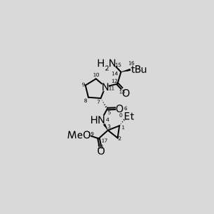 CC[C@@H]1C[C@]1(NC(=O)[C@@H]1CCCN1C(=O)[C@@H](N)C(C)(C)C)C(=O)OC